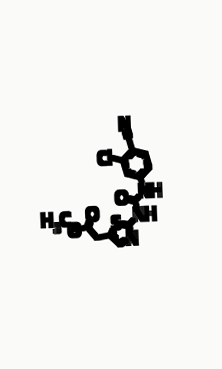 COC(=O)Cc1cnc(NC(=O)Nc2ccc(C#N)c(Cl)c2)s1